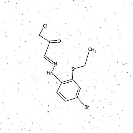 CCSc1cc(Br)ccc1NN=CC(=O)CCl